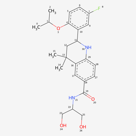 CC(C)Oc1ccc(F)cc1C1CC(C)(C)c2cc(C(=O)NC(CO)CO)ccc2N1